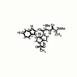 CN[C@@H](C)C(=O)N[C@H](C(=O)N1CC[C@@H]2[C@H]1[C@H](c1c[nH]c3cc(F)ccc13)CN2S(C)(=O)=O)C(C)(C)C